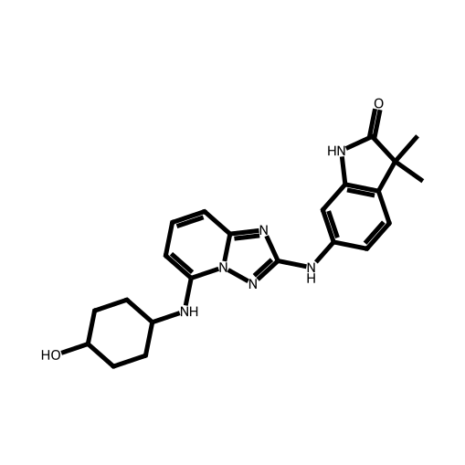 CC1(C)C(=O)Nc2cc(Nc3nc4cccc(NC5CCC(O)CC5)n4n3)ccc21